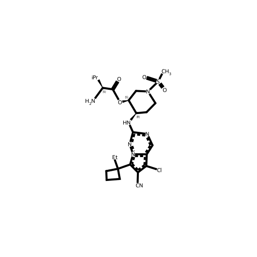 CCC1(c2c(C#N)c(Cl)c3cnc(N[C@@H]4CCN(S(C)(=O)=O)C[C@@H]4OC(=O)[C@@H](N)C(C)C)nn23)CCC1